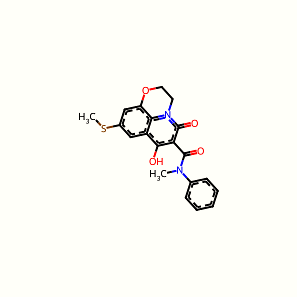 CSc1cc2c3c(c1)c(O)c(C(=O)N(C)c1ccccc1)c(=O)n3CCO2